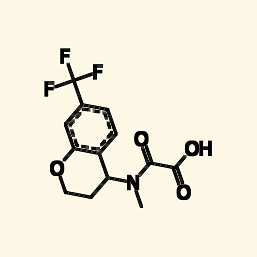 CN(C(=O)C(=O)O)C1CCOc2cc(C(F)(F)F)ccc21